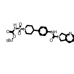 CC(C)(C)OC(=O)NS(=O)(=O)N1CCC(c2ccc(NC(=O)N3Cc4cccnc4C3)cc2)CC1